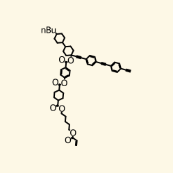 C#Cc1ccc(C#Cc2ccc(C#CC3(OC(=O)c4ccc(OC(=O)C5CCC(C(=O)OCCCCCOC(=O)C=C)CC5)cc4)CCC(C4CCC(CCCC)CC4)CC3)cc2)cc1